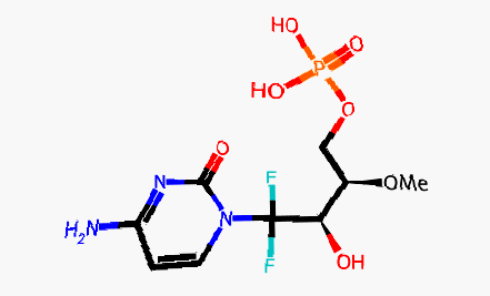 CO[C@H](COP(=O)(O)O)[C@@H](O)C(F)(F)n1ccc(N)nc1=O